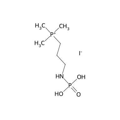 C[P+](C)(C)CCCNP(=O)(O)O.[I-]